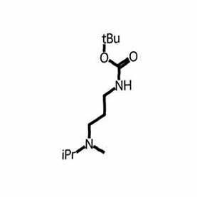 CC(C)N(C)CCCNC(=O)OC(C)(C)C